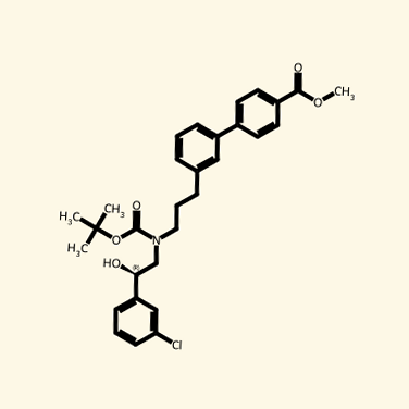 COC(=O)c1ccc(-c2cccc(CCCN(C[C@H](O)c3cccc(Cl)c3)C(=O)OC(C)(C)C)c2)cc1